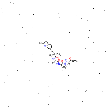 CCc1ccc2ccc(/C=C/C(C)(C)C(=O)NC(C(=O)NC(C)C(=O)N3CCCC(C(=O)NC)N3)C(C)C)cc2n1